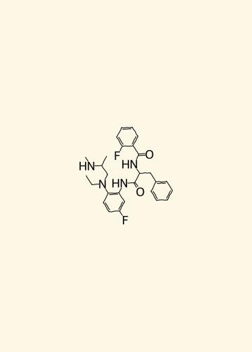 CCN(CC(C)NC)c1ccc(F)cc1NC(=O)C(Cc1ccccc1)NC(=O)c1ccccc1F